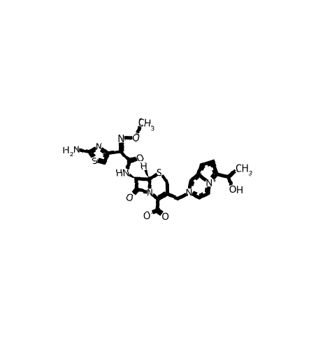 CO/N=C(\C(=O)N[C@@H]1C(=O)N2C(C(=O)[O-])=C(Cn3cc[n+]4c(C(C)O)ccc-4c3)CS[C@@H]12)c1csc(N)n1